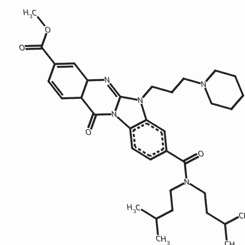 COC(=O)C1=CC2N=C3N(CCCN4CCCCC4)c4cc(C(=O)N(CCC(C)C)CCC(C)C)ccc4N3C(=O)C2C=C1